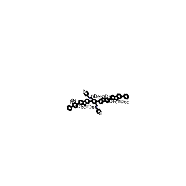 CCCCCCCCCCC1(CCCCCCCCCC)c2cc(-c3ccccc3)ccc2-c2ccc(-c3ccc4c(c3)C(CCCCCCCCCC)(CCCCCCCCCC)c3cc(-c5cc(/C=C/c6ccncc6)c(-c6ccc7c(c6)C(CCCCCCCCCC)(CCCCCCCCCC)c6cc(-c8ccc(-c9ccccc9)c9nonc89)ccc6-7)cc5/C=C/c5ccncc5)ccc3-4)cc21